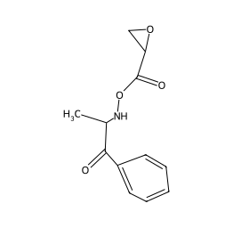 CC(NOC(=O)C1CO1)C(=O)c1ccccc1